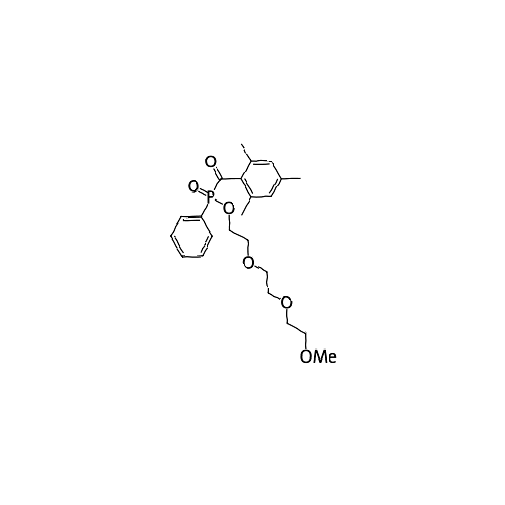 COCCOCCOCCOP(=O)(C(=O)c1c(C)cc(C)cc1C)c1ccccc1